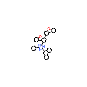 c1ccc(-c2nc(-c3cc4ccccc4c4ccccc34)nc(-c3ccc(-c4ccc5oc6ccccc6c5c4)c4oc5ccccc5c34)n2)cc1